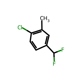 Cc1cc(C(F)F)ccc1Cl